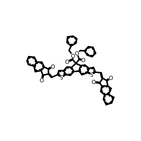 O=C1C(=Cc2cc3cc4c(cc3s2)-c2cc3sc(C=C5C(=O)c6cc7ccccc7cc6C5=O)cc3cc2C4(C(=O)OCc2ccccc2)C(=O)OCc2ccccc2)C(=O)c2cc3ccccc3cc21